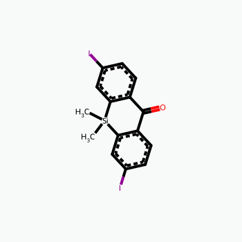 C[Si]1(C)c2cc(I)ccc2C(=O)c2ccc(I)cc21